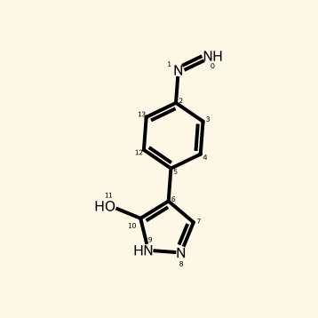 N=Nc1ccc(-c2cn[nH]c2O)cc1